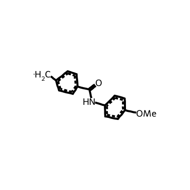 [CH2]c1ccc(C(=O)Nc2ccc(OC)cc2)cc1